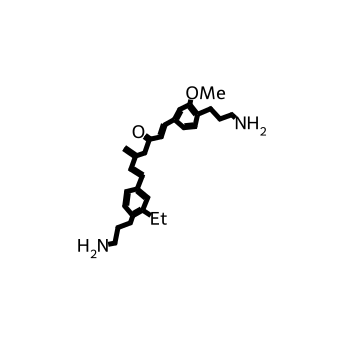 C=C(/C=C/c1ccc(CCCN)c(CC)c1)CC(=O)/C=C/c1ccc(CCCN)c(OC)c1